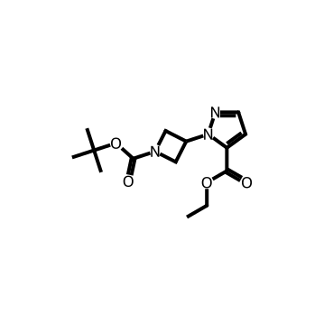 CCOC(=O)c1ccnn1C1CN(C(=O)OC(C)(C)C)C1